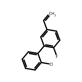 C=Cc1ccc(F)c(-c2ccccc2Cl)c1